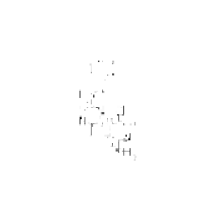 Cc1ncc(NCC2CCOCC2)nc1-c1cc(N)ncc1Cl